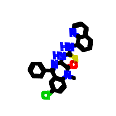 CN1C(=O)C(NC(=S)Nc2cccc3cccnc23)N=C(c2ccccc2)c2cc(Cl)ccc21